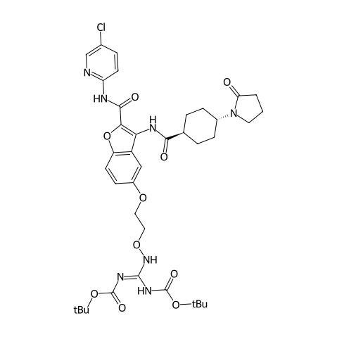 CC(C)(C)OC(=O)N=C(NOCCOc1ccc2oc(C(=O)Nc3ccc(Cl)cn3)c(NC(=O)[C@H]3CC[C@H](N4CCCC4=O)CC3)c2c1)NC(=O)OC(C)(C)C